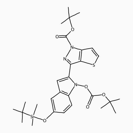 CC(C)(C)OC(=O)On1c(-c2nn(C(=O)OC(C)(C)C)c3ccsc23)cc2cc(O[Si](C)(C)C(C)(C)C)ccc21